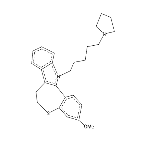 COc1ccc2c(c1)SCCc1c-2n(CCCCCN2CCCC2)c2ccccc12